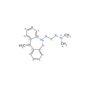 C=C1c2ccccc2CN(CCCN(C)C)c2ccccc21